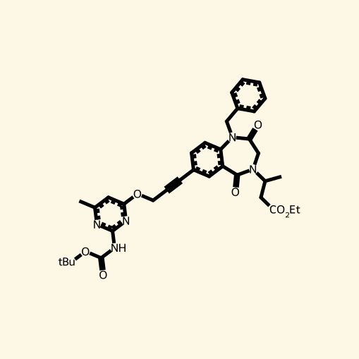 CCOC(=O)CC(C)N1CC(=O)N(Cc2ccccc2)c2ccc(C#CCOc3cc(C)nc(NC(=O)OC(C)(C)C)n3)cc2C1=O